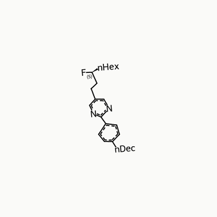 CCCCCCCCCCc1ccc(-c2ncc(CC[C@@H](F)CCCCCC)cn2)cc1